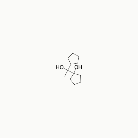 CC(O)(C1CCCC1)C1(O)CCCC1